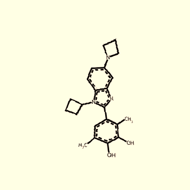 Cc1cc(-c2nc3cc(N4CCC4)ccc3n2C2CCC2)c(C)c(O)c1O